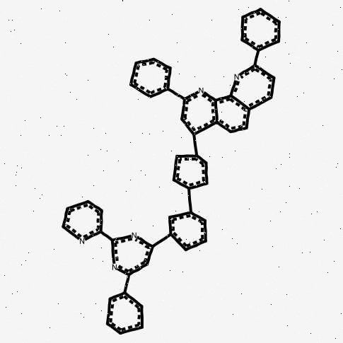 c1ccc(-c2cc(-c3cccc(-c4ccc(-c5cc(-c6ccccc6)nc6c5ccc5ccc(-c7ccccc7)nc56)cc4)c3)nc(-c3ccccn3)n2)cc1